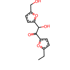 CCc1ccc(C(=O)C(O)c2ccc(CO)o2)o1